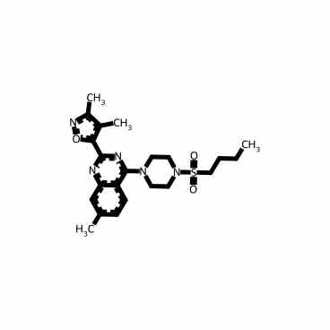 CCCCS(=O)(=O)N1CCN(c2nc(-c3onc(C)c3C)nc3cc(C)ccc23)CC1